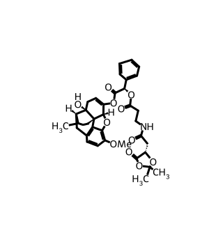 COc1ccc2c3c1O[C@H]1C(OC(=O)[C@H](OC(=O)CCNC(=O)C[C@@H]4OC(C)(C)OC4=O)c4ccccc4)=CC[C@@]4(O)[C@@H](C2)C(C)CC[C@]314